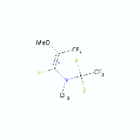 CO/C(=C(\F)N(C(F)(F)F)C(F)(F)C(F)(F)F)C(F)(F)F